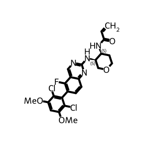 C=CC(=O)N[C@H]1CCOC[C@H]1Nc1ncc2c(F)c(-c3c(Cl)c(OC)cc(OC)c3Cl)ccc2n1